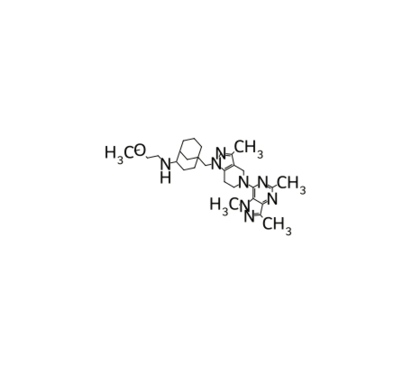 COCCNC1CCC2(Cn3nc(C)c4c3CCN(c3nc(C)nc5c(C)nn(C)c35)C4)CCCC1C2